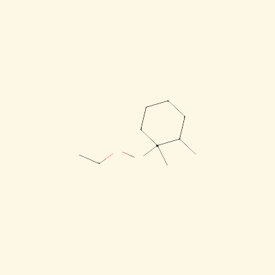 CCO[SiH2]C1(C)CCCCC1C